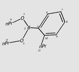 CCCOB(OCCC)c1ccccc1CCC